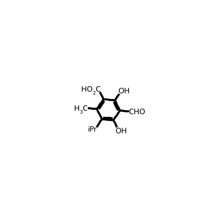 Cc1c(C(=O)O)c(O)c(C=O)c(O)c1C(C)C